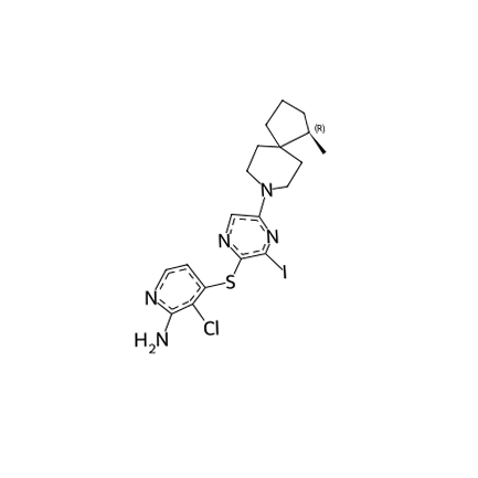 C[C@@H]1CCCC12CCN(c1cnc(Sc3ccnc(N)c3Cl)c(I)n1)CC2